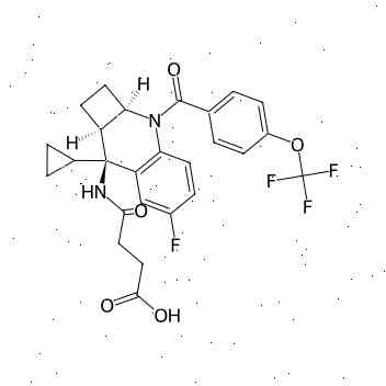 O=C(O)CCC(=O)N[C@]1(C2CC2)c2cc(F)ccc2N(C(=O)c2ccc(OC(F)(F)F)cc2)[C@@H]2CC[C@@H]21